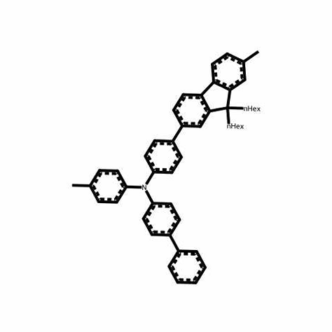 CCCCCCC1(CCCCCC)c2cc(C)ccc2-c2ccc(-c3ccc(N(c4ccc(C)cc4)c4ccc(-c5ccccc5)cc4)cc3)cc21